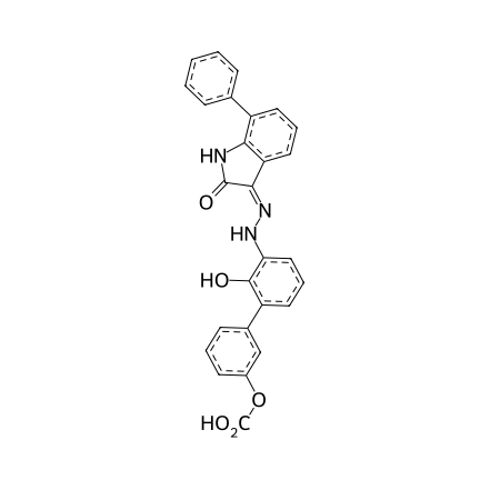 O=C(O)Oc1cccc(-c2cccc(NN=C3C(=O)Nc4c3cccc4-c3ccccc3)c2O)c1